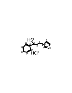 Cl.SC(CCn1ccnc1)c1ccccc1